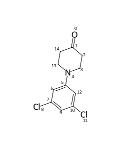 O=C1CCN(c2cc(Cl)cc(Cl)c2)CC1